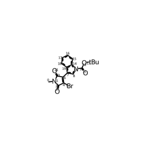 CN1C(=O)C(Br)=C(c2cn(C(=O)OC(C)(C)C)c3ccccc23)C1=O